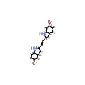 Brc1ccc2[nH]c(C#Cc3cc4ccc(Br)cc4[nH]3)cc2c1